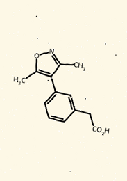 Cc1noc(C)c1-c1cccc(CC(=O)O)c1